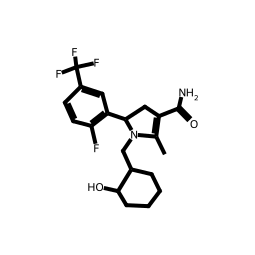 CC1=C(C(N)=O)CC(c2cc(C(F)(F)F)ccc2F)N1CC1CCCCC1O